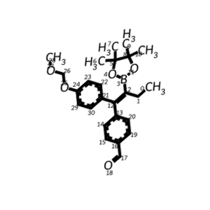 CCC(B1OC(C)(C)C(C)(C)O1)=C(c1ccc(C=O)cc1)c1ccc(OCOC)cc1